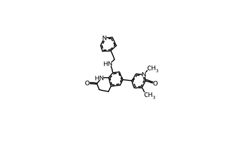 Cc1cc(-c2cc3c(c(NCc4ccncc4)c2)NC(=O)CC3)cn(C)c1=O